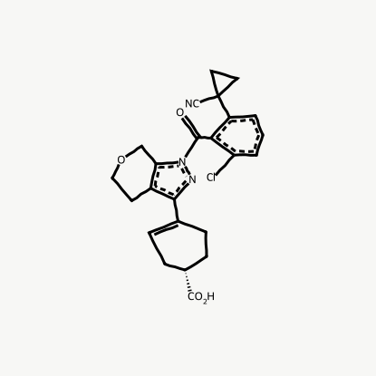 N#CC1(c2cccc(Cl)c2C(=O)n2nc(C3=CC[C@@H](C(=O)O)CC3)c3c2COCC3)CC1